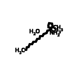 CCCCCCCCCCCCCCCC(N)C1(C)CCCCC1C.O